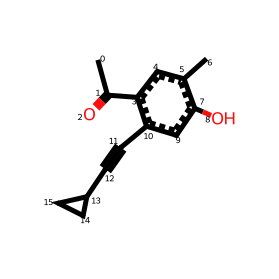 CC(=O)c1cc(C)c(O)cc1C#CC1CC1